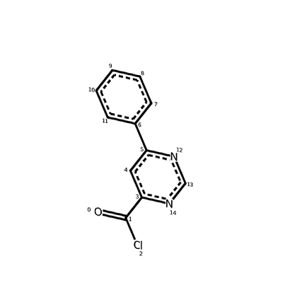 O=C(Cl)c1cc(-c2ccccc2)ncn1